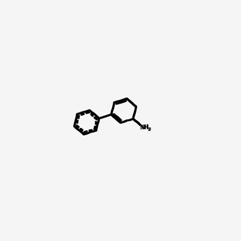 NC1C=C(c2ccccc2)C=CC1